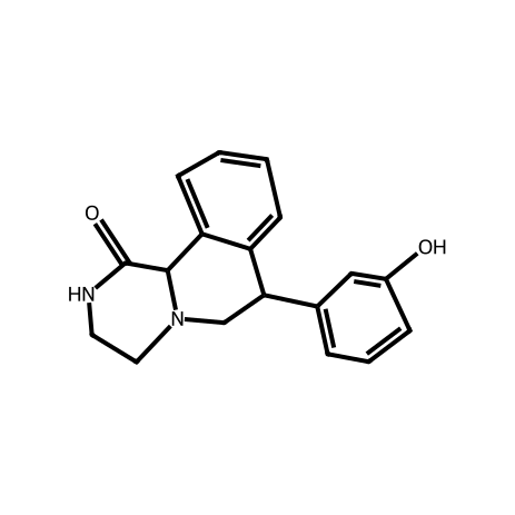 O=C1NCCN2CC(c3cccc(O)c3)c3ccccc3C12